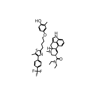 CCN(CC)C(=O)[C@@H]1C=C2c3cccc4[nH]cc(c34)C[C@H]2N(C)C1.Cc1cc(OCCCCc2nc(-c3ccc(C(F)(F)F)cc3)c(C)s2)ccc1O